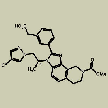 COC(=O)N1CCc2ccc3c(nc(-c4cccc(CC(=O)O)c4)n3[C@@H](C)Cn3cc(Cl)cn3)c2C1